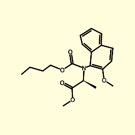 CCCCOC(=O)N(c1c(OC)ccc2ccccc12)[C@@H](C)C(=O)OC